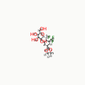 CC(c1ccc(B2OC(C)(C)C(C)(C)O2)cc1C(F)(F)F)[C@H]1O[C@H](CO)[C@@H](O)[C@H](O)[C@@H]1O